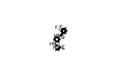 CN(C)c1ccnc(N[C@H]2CC[C@@H](NC(=O)c3cccc(C(F)(F)F)c3)CC2)n1